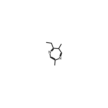 CCC1=NC=C(C)N=CC1C